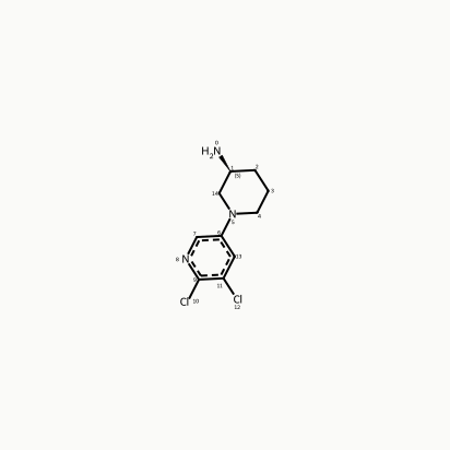 N[C@H]1CCCN(c2cnc(Cl)c(Cl)c2)C1